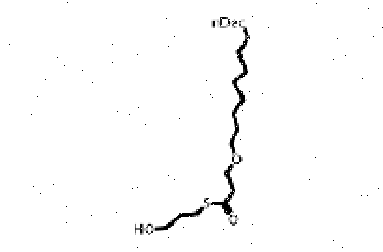 CCCCCCCCCCCCCCCCCCOCCC(=O)SCCCO